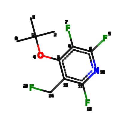 CC(C)(C)Oc1c(F)c(F)nc(F)c1CF